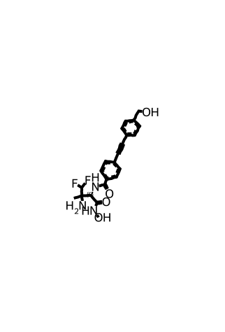 CC(N)(C(F)F)[C@H](NC(=O)c1ccc(C#Cc2ccc(CO)cc2)cc1)C(=O)NO